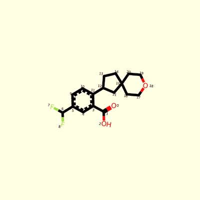 O=C(O)c1cc(C(F)F)ccc1C1CCC2(CCOCC2)C1